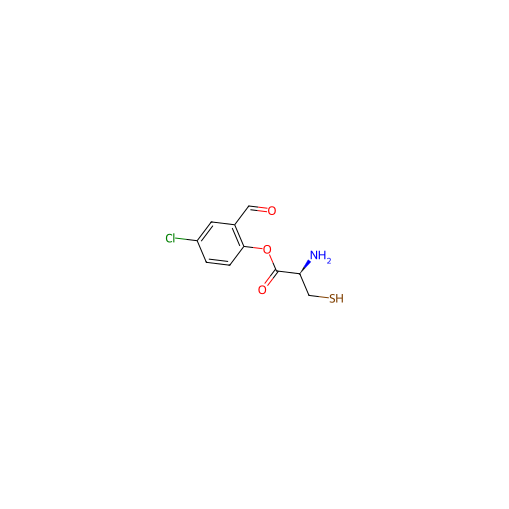 N[C@@H](CS)C(=O)Oc1ccc(Cl)cc1C=O